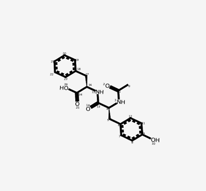 CC(=O)N[C@@H](Cc1ccc(O)cc1)C(=O)N[C@H](Cc1ccccc1)C(=O)O